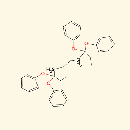 CCC(Oc1ccccc1)(Oc1ccccc1)[SiH2]CC[SiH2]C(CC)(Oc1ccccc1)Oc1ccccc1